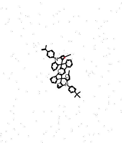 C=C(C)c1ccc(N2c3ccccc3C3(c4ccccc4-c4cc5c(cc43)-c3ccccc3C53c4ccccc4N(c4ccc(C(C)(C)C)cc4)c4ccc(C)cc43)c3cc(C)ccc32)cc1